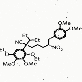 CCOc1cc(C(C#N)(CCCC(Cc2ccc(OC)c(OC)c2)[N+](=O)[O-])C(CC)CC)c(OCC)c(OC)c1OC